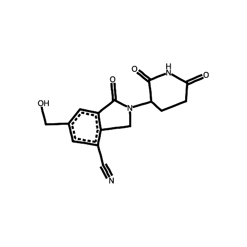 N#Cc1cc(CO)cc2c1CN(C1CCC(=O)NC1=O)C2=O